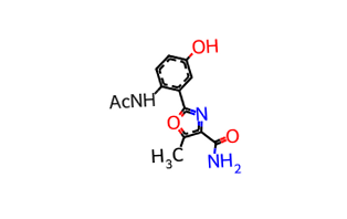 CC(=O)Nc1ccc(O)cc1-c1nc(C(N)=O)c(C)o1